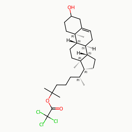 C[C@H](CCCC(C)(C)OC(=O)C(Cl)(Cl)Cl)[C@H]1CC[C@H]2[C@@H]3CC=C4CC(O)CC[C@]4(C)[C@H]3CC[C@]12C